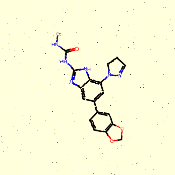 CCNC(=O)Nc1nc2cc(-c3ccc4c(c3)OCO4)cc(N3CCC=N3)c2[nH]1